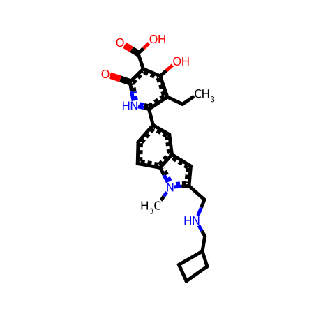 CCc1c(-c2ccc3c(c2)cc(CNCC2CCC2)n3C)[nH]c(=O)c(C(=O)O)c1O